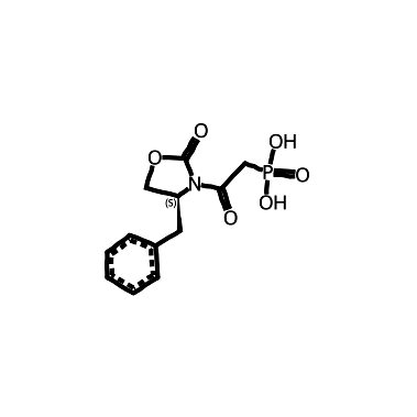 O=C(CP(=O)(O)O)N1C(=O)OC[C@@H]1Cc1ccccc1